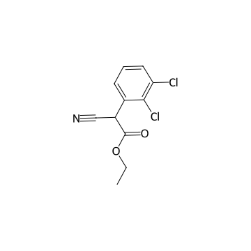 CCOC(=O)C(C#N)c1cccc(Cl)c1Cl